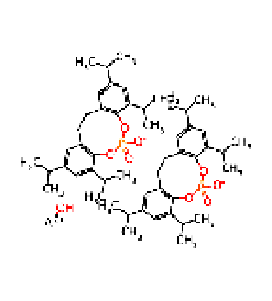 CC(C)c1cc2c(c(C(C)C)c1)OP(=O)([O-])Oc1c(cc(C(C)C)cc1C(C)C)CC2.CC(C)c1cc2c(c(C(C)C)c1)OP(=O)([O-])Oc1c(cc(C(C)C)cc1C(C)C)CC2.[OH][Al+2]